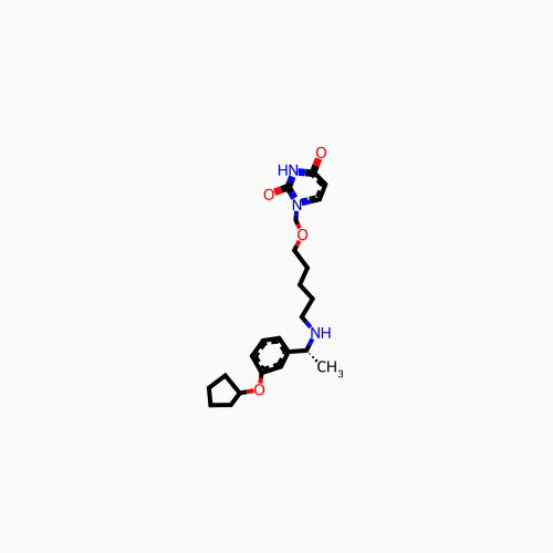 C[C@@H](NCCCCCOCn1ccc(=O)[nH]c1=O)c1cccc(OC2CCCC2)c1